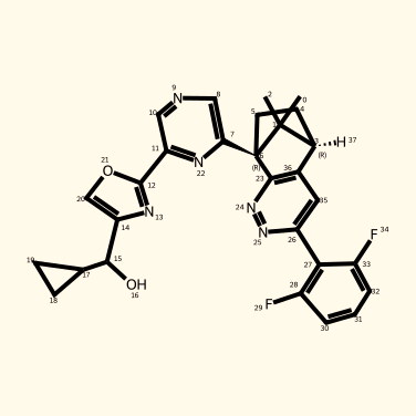 CC1(C)[C@H]2CC[C@@]1(c1cncc(-c3nc(C(O)C4CC4)co3)n1)c1nnc(-c3c(F)cccc3F)cc12